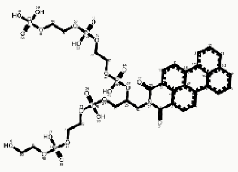 O=C1c2ccc3c4cccc5cccc(c6ccc(c2c36)C(=O)N1CC(COP(=O)(O)OCCOP(=O)(O)OCCO)OP(=O)(O)OCCOP(=O)(O)OCCOP(=O)(O)O)c54